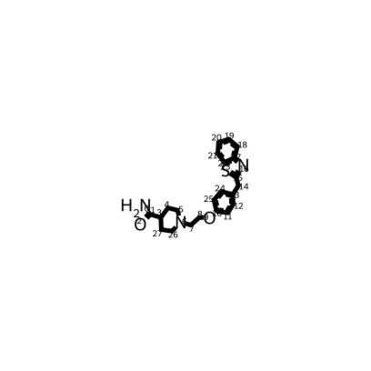 NC(=O)C1CCN(CCOc2ccc(Cc3nc4ccccc4s3)cc2)CC1